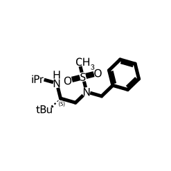 CC(C)N[C@H](CN(Cc1ccccc1)S(C)(=O)=O)C(C)(C)C